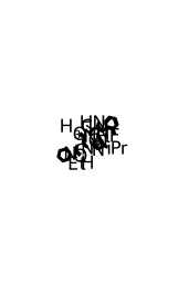 CC[C@H]1CCCCN1C(=O)C[C@H](Nc1nc(C(C)C)no1)C(=O)N[C@@H](C)c1nc2c(F)cccc2[nH]1